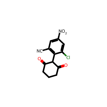 N#Cc1cc([N+](=O)[O-])cc(Cl)c1C1C(=O)CCCC1=O